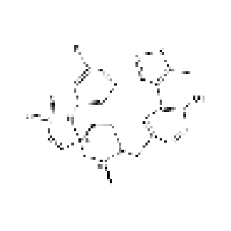 Cc1scnc1-c1cc(CN2CC[C@]3(C=CS(=O)(=O)N3c3cccc(F)c3)C[C@@H]2C)ccc1O